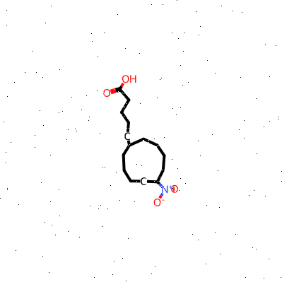 O=C(O)CCCCC1CCCCC([N+](=O)[O-])CCCC1